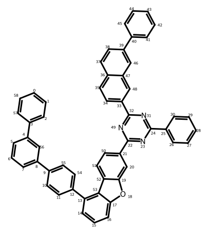 c1ccc(-c2cccc(-c3ccc(-c4cccc5oc6cc(-c7nc(-c8ccccc8)nc(-c8ccc9ccc(-c%10ccccc%10)cc9c8)n7)ccc6c45)cc3)c2)cc1